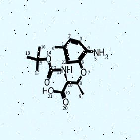 Cc1ccc(N)c(O[C@@H](C)[C@H](NC(=O)OC(C)(C)C)C(=O)O)c1